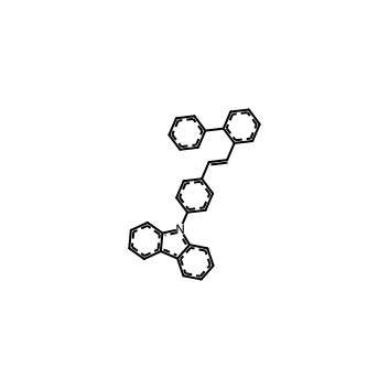 C(=C\c1ccccc1-c1ccccc1)/c1ccc(-n2c3ccccc3c3ccccc32)cc1